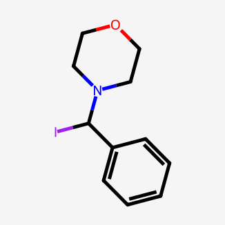 IC(c1ccccc1)N1CCOCC1